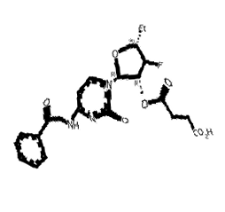 CC[C@H]1O[C@@H](n2ccc(NC(=O)c3ccccc3)nc2=O)[C@@H](OC(=O)CCC(=O)O)C1F